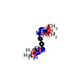 CCCN(Cc1ncc(-c2ccc(-c3ccc(-c4cnc([C@@H]5CCCN5C(=O)[C@@H](NC(=O)OC)C(C)(C)S(C)(=O)=O)[nH]4)cc3)cc2)[nH]1)C(=O)[C@@H](NC(=O)OC)C(C)C